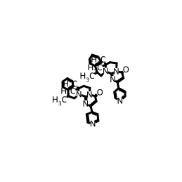 CC(CN1c2nc(-c3ccncc3)cc(=O)n2CCC1(C)C)c1ccccc1.CC(CN1c2nc(-c3ccncc3)cc(=O)n2CCC1(C)C)c1ccccc1